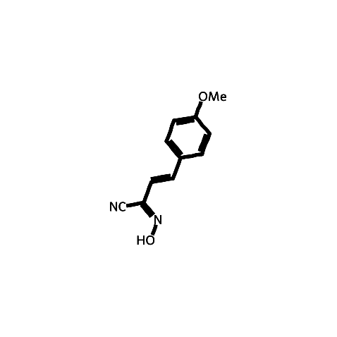 COc1ccc(C=CC(C#N)=NO)cc1